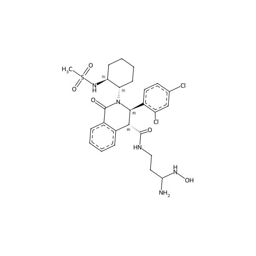 CS(=O)(=O)N[C@H]1CCCC[C@@H]1N1C(=O)c2ccccc2[C@@H](C(=O)NCCC(N)NO)[C@@H]1c1ccc(Cl)cc1Cl